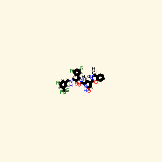 C[C@H](c1ccccc1)N(C)C(=O)c1cc(C(=O)N[C@@H](c2cc(F)cc(F)c2)[C@H](O)CNCc2cc(F)cc(C(F)(F)F)c2)[nH]c(=O)c1